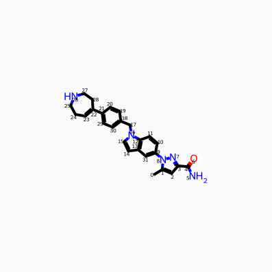 Cc1cc(C(N)=O)nn1-c1ccc2c(ccn2Cc2ccc(C3=CCCNCC3)cc2)c1